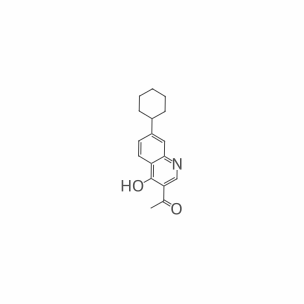 CC(=O)c1cnc2cc(C3CCCCC3)ccc2c1O